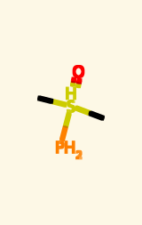 C[SH](C)(=O)P